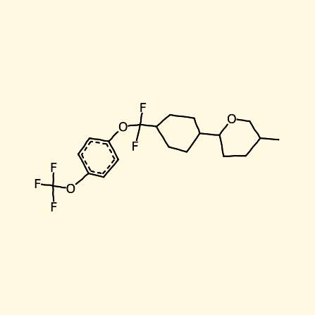 CC1CCC(C2CCC(C(F)(F)Oc3ccc(OC(F)(F)F)cc3)CC2)OC1